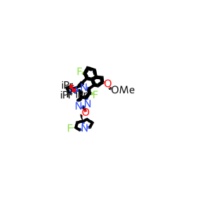 COCOc1cc(-c2nc(N3CC[C@@H]3C)c3cnc(OC[C@@]45CCCN4C[C@H](F)C5)nc3c2F)c2c(C#C[Si](C(C)C)(C(C)C)C(C)C)c(F)ccc2c1